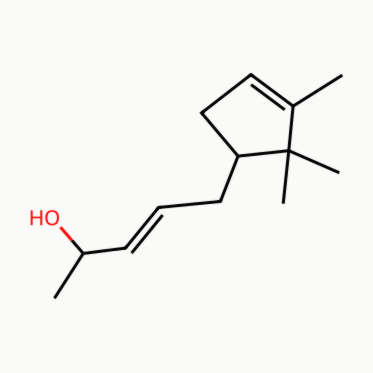 CC1=CCC(CC=CC(C)O)C1(C)C